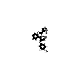 Cn1nncc1COc1ccccc1-c1n[nH]cc1Oc1ccc(C#N)cc1